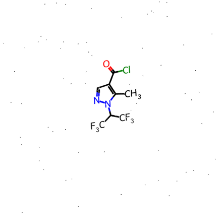 Cc1c(C(=O)Cl)cnn1C(C(F)(F)F)C(F)(F)F